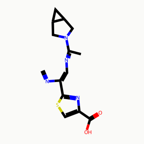 C=N/C(=C\N=C(/C)N1CC2CC2C1)c1nc(C(=O)O)cs1